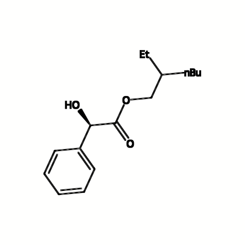 CCCCC(CC)COC(=O)[C@H](O)c1ccccc1